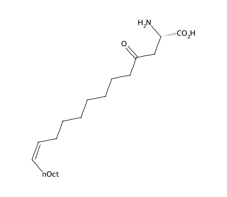 CCCCCCCC/C=C\CCCCCCCC(=O)C[C@H](N)C(=O)O